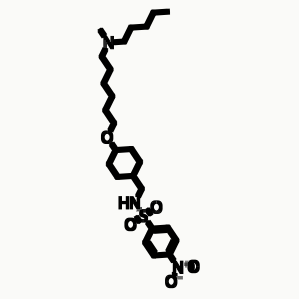 CCCCCN(C)CCCCCCOC1CCC(CNS(=O)(=O)c2ccc([N+](=O)[O-])cc2)CC1